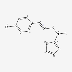 CCc1ccc(/C=C/CN(C)c2cccs2)cc1